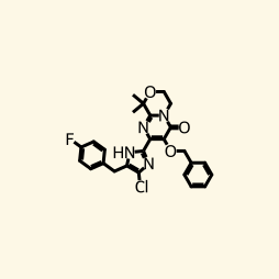 CC1(C)OCCn2c1nc(-c1nc(Cl)c(Cc3ccc(F)cc3)[nH]1)c(OCc1ccccc1)c2=O